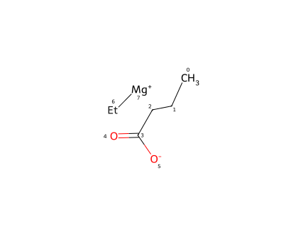 CCCC(=O)[O-].C[CH2][Mg+]